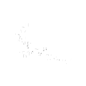 CC(C)C1=C2[C@H]3CC[C@@H]4[C@@]5(C)CC[C@H](OC(=O)[C@H]6C[C@@H](C(=O)O)C6(C)C)C(C)(C)[C@@H]5CC[C@@]4(C)[C@]3(C)CC[C@@]2([C@@H](O)CNC[C@@H](C)NC(=O)c2ccc(Cl)cc2)CC1=O